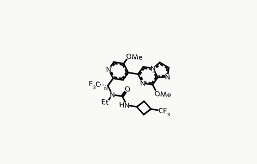 CCN(C(=O)NC1CC(C(F)(F)F)C1)[C@@H](c1cc(-c2cn3ccnc3c(OC)n2)c(OC)cn1)C(F)(F)F